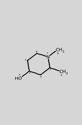 CC1CC(O)CCN1C